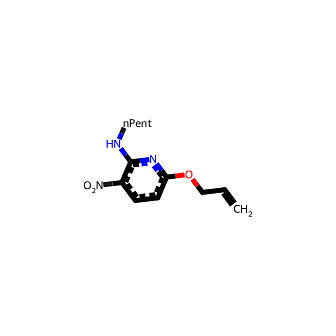 C=CCOc1ccc([N+](=O)[O-])c(NCCCCC)n1